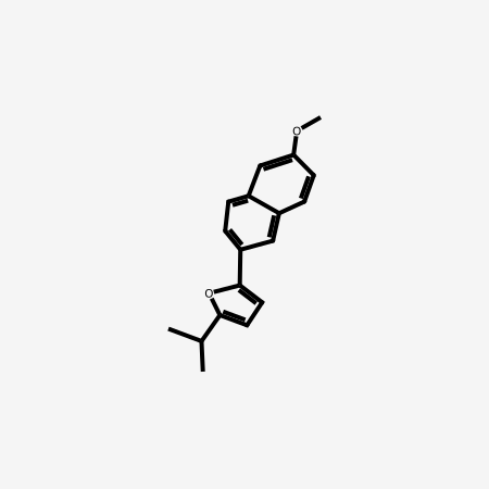 COc1ccc2cc(-c3ccc(C(C)C)o3)ccc2c1